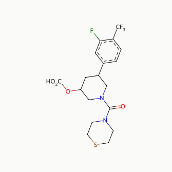 O=C(O)OC1CC(c2ccc(C(F)(F)F)c(F)c2)CN(C(=O)N2CCSCC2)C1